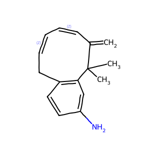 C=C1/C=C\C=C/Cc2ccc(N)cc2C1(C)C